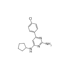 Nc1nc(NC2CCCC2)cc(-c2ccc(Cl)cc2)n1